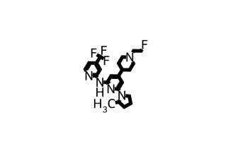 CC1CCCN1c1cc(C2CCN(CCF)CC2)cc(Nc2cc(C(F)(F)F)ccn2)n1